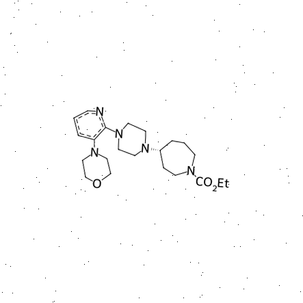 CCOC(=O)N1CCC[C@@H](N2CCN(c3ncccc3N3CCOCC3)CC2)CC1